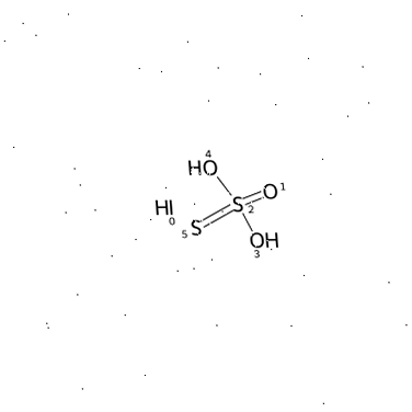 I.O=S(O)(O)=S